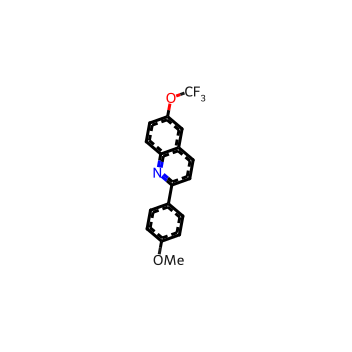 COc1ccc(-c2ccc3cc(OC(F)(F)F)ccc3n2)cc1